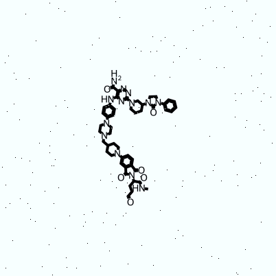 CNC(=O)C(CCC=O)N1C(=O)c2ccc(N3CCC(CN4CCN(c5ccc(Nc6nc(N7CCCC(N8CCN(c9ccccc9)C8=O)C7)nnc6C(N)=O)cc5)CC4)CC3)cc2C1=O